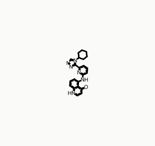 O=c1cc[nH]c2cccc(Nc3cccc(-c4nncn4C4CCCCC4)n3)c12